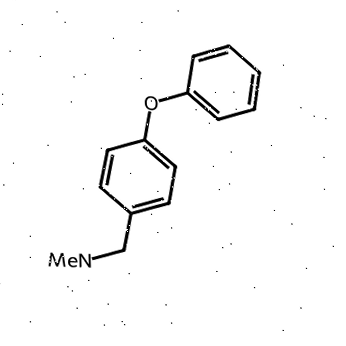 CNCc1ccc(Oc2ccccc2)cc1